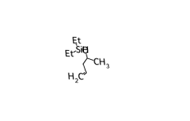 C=CCC(C)O[SiH](CC)CC